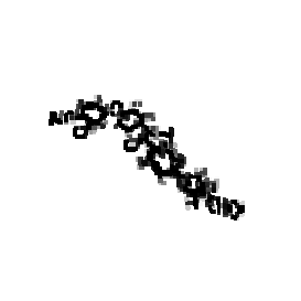 N#Cc1ccc(O[C@H]2CC[C@H](NC(=O)c3ccc(N4C[C@@H]5[C@H](C=O)[C@@H]5C4)nn3)CC2)cc1Cl